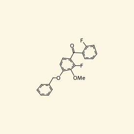 COc1c(OCc2ccccc2)ccc(C(=O)c2ccccc2F)c1F